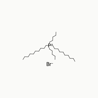 CCCCCCCCCC[P+](CCCCC)(CCCCC)CCCCCCCCCC.[Br-]